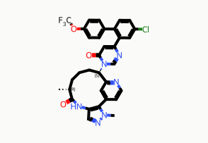 C[C@@H]1CCC[C@H](n2cnc(-c3cc(Cl)ccc3-c3ccc(OC(F)(F)F)cc3)cc2=O)c2cc(ccn2)-c2c(cnn2C)NC1=O